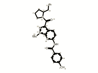 Cc1ccc(C(=O)Nc2ccc3c(C(=O)N4CCCC4CC(C)C)nn(C(C)(C)C)c3n2)cc1